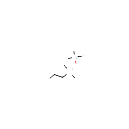 CCC(C)CC[Si](C)(C)O[Si](CC)(CC)CC